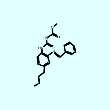 CCCCc1ccc(NC(=S)NC(=O)OC)c(/N=C/c2ccccc2)c1